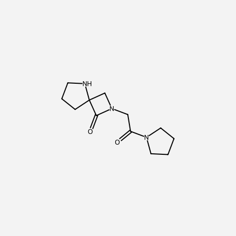 O=C(CN1CC2(CCCN2)C1=O)N1CCCC1